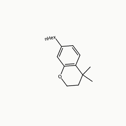 CCCCCCc1ccc2c(c1)OCCC2(C)C